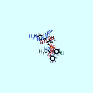 C[C@H](NP(=O)(OC[C@@H](O[C@@H](CN=[N+]=[N-])n1ccc(N)nc1=O)[C@H](C)O)Oc1ccc(Cl)cc1)C(=O)OC1CCCCC1